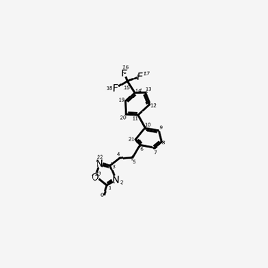 Cc1nc(C[CH]c2cccc(-c3ccc(C(F)(F)F)cc3)c2)no1